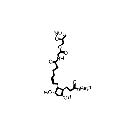 CCCCCCCC(=O)CC[C@@H]1[C@@H](C/C=C\CCCC(=O)NCC(=O)OCC(C)O[N+](=O)[O-])[C@@H](O)C[C@H]1O